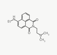 CCNc1ccc2c3c(cccc13)C(=O)N(CCN(C)C)C2=O